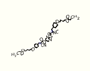 [C-]#[N+]/C(=C\c1ccc(OCCCCOC(=O)C=C)cc1)C(=O)Sc1ncc(OC(=O)/C(C#N)=C/c2ccc(OCCCCOC(=O)C=C)cc2)cn1